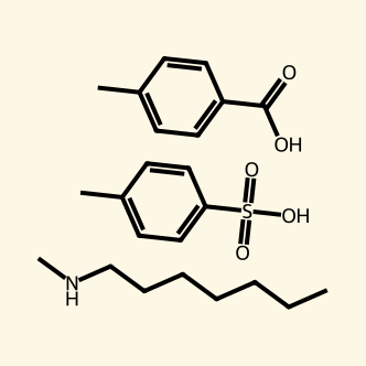 CCCCCCCNC.Cc1ccc(C(=O)O)cc1.Cc1ccc(S(=O)(=O)O)cc1